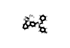 Cn1nnc(-c2ccccc2-c2ccc(CN(Cc3ccccc3)Cc3ccc(F)cc3)cc2)n1